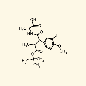 COc1ccc(C(C(=O)NC(C)C(=O)O)N(C)C(=O)OC(C)(C)C)cc1I